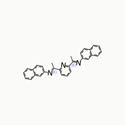 C/C(=N\c1ccc2ccccc2c1)c1cccc(/C(C)=N/c2ccc3ccccc3c2)n1